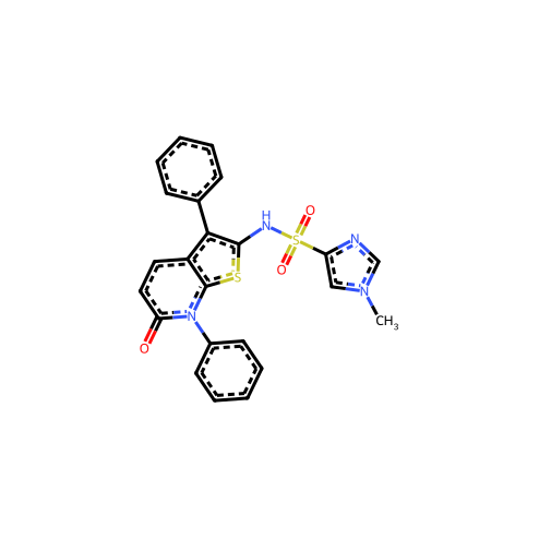 Cn1cnc(S(=O)(=O)Nc2sc3c(ccc(=O)n3-c3ccccc3)c2-c2ccccc2)c1